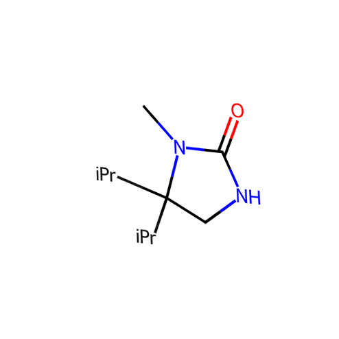 CC(C)C1(C(C)C)CNC(=O)N1C